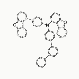 c1ccc(-c2cccc(-c3ccc(N(c4ccc(-c5cccc6oc7ccccc7c56)cc4)c4cccc5oc6ccccc6c45)cc3)c2)cc1